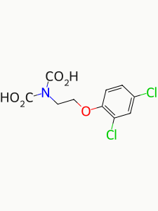 O=C(O)N(CCOc1ccc(Cl)cc1Cl)C(=O)O